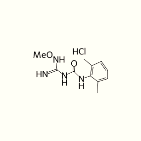 CONC(=N)NC(=O)Nc1c(C)cccc1C.Cl